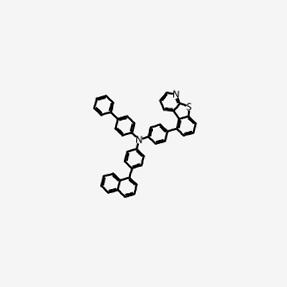 c1ccc(-c2ccc(N(c3ccc(-c4cccc5ccccc45)cc3)c3ccc(-c4cccc5sc6ncccc6c45)cc3)cc2)cc1